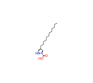 CCCCCCCCCCCCc1c[nH]c(C(=O)O)c1